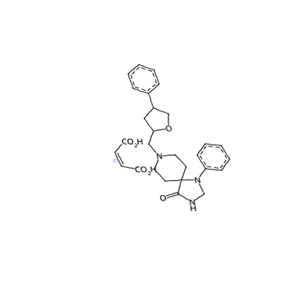 O=C(O)/C=C\C(=O)O.O=C1NCN(c2ccccc2)C12CCN(CC1CC(c3ccccc3)CO1)CC2